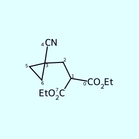 CCOC(=O)C(CC1(C#N)CC1)C(=O)OCC